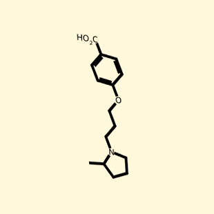 CC1CCCN1CCCOc1ccc(C(=O)O)cc1